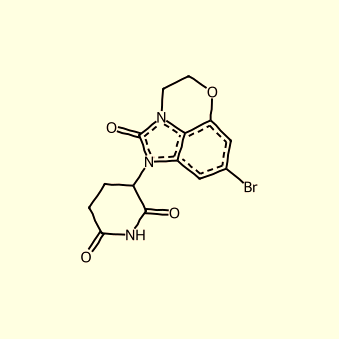 O=C1CCC(n2c(=O)n3c4c(cc(Br)cc42)OCC3)C(=O)N1